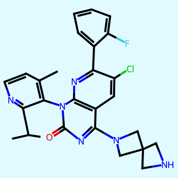 Cc1ccnc(C(C)C)c1-n1c(=O)nc(N2CC3(CNC3)C2)c2cc(Cl)c(-c3ccccc3F)nc21